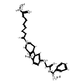 O=C(CCCCCCC(=O)N1CCc2c([nH]c3ccc(OCC(=O)N[C@H](C(=O)O)c4ccccc4)cc23)C1)NO